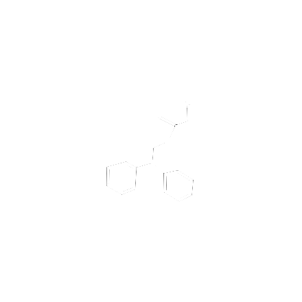 O=C(CS)SCP(c1ccccc1)c1ccccc1